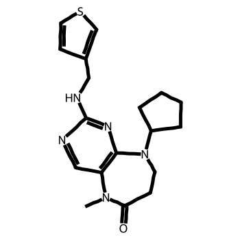 CN1C(=O)CCN(C2CCCC2)c2nc(NCc3ccsc3)ncc21